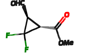 COC(=O)[C@H]1[C@H](C=O)C1(F)F